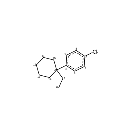 C[CH]C1(c2ccc(Cl)cc2)CCCCC1